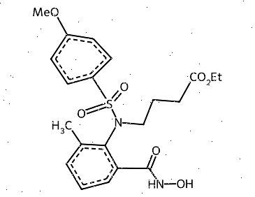 CCOC(=O)CCCN(c1c(C)cccc1C(=O)NO)S(=O)(=O)c1ccc(OC)cc1